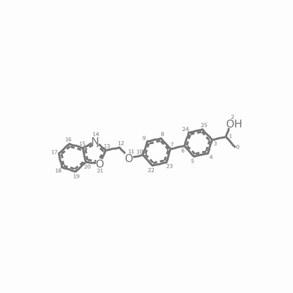 CC(O)c1ccc(-c2ccc(OCc3nc4ccccc4o3)cc2)cc1